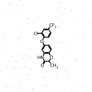 CC1Oc2ccc(Oc3ccc(C(F)(F)F)cc3Cl)cc2NC1=O